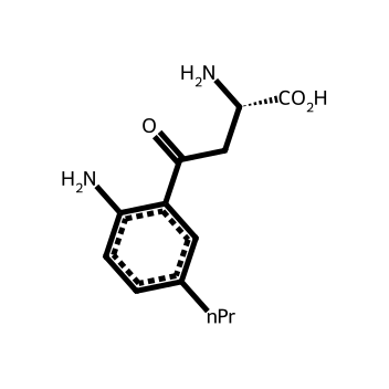 CCCc1ccc(N)c(C(=O)C[C@H](N)C(=O)O)c1